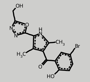 Cc1[nH]c(-c2nnc(CO)o2)c(C)c1C(=O)c1cc(Br)ccc1O